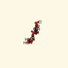 Cc1ncsc1-c1ccc([C@H](C)NC(=O)[C@@H]2C[C@@H](O)CN2C(=O)[C@@H](NC(=O)CCCCCC(=O)N2CCN(CC[C@H](CSc3ccccc3)Nc3ccc(S(=O)(=O)NC(=O)c4ccc5c(c4)N(C4CC4)C(=O)C4CN(CC6=C(c7ccc(Cl)cc7)CCC(C)(C)C6)CCN54)cc3S(=O)(=O)C(F)(F)F)CC2)C(C)(C)C)cc1